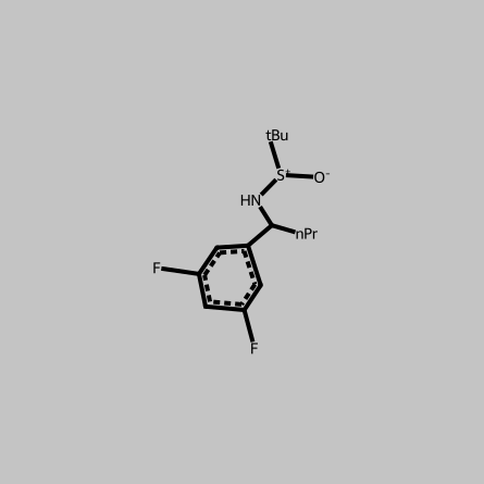 CCCC(N[S+]([O-])C(C)(C)C)c1cc(F)cc(F)c1